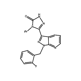 CC(C)n1c(-c2nn(Cc3ccccc3F)c3ncccc23)n[nH]c1=O